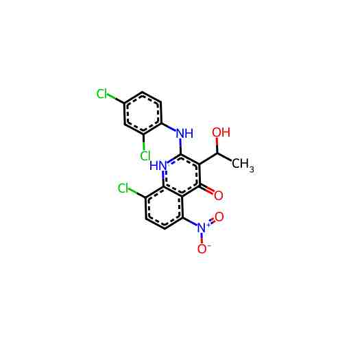 CC(O)c1c(Nc2ccc(Cl)cc2Cl)[nH]c2c(Cl)ccc([N+](=O)[O-])c2c1=O